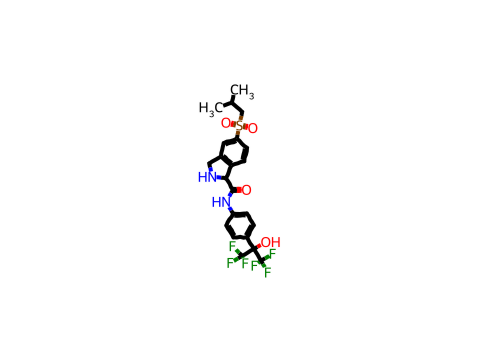 CC(C)CS(=O)(=O)c1ccc2c(c1)CNC2C(=O)Nc1ccc(C(O)(C(F)(F)F)C(F)(F)F)cc1